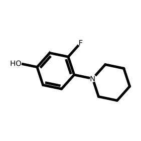 Oc1[c]c(F)c(N2CCCCC2)cc1